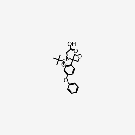 CC(C)(C)[S@@+]([O-])N(CC(=O)O)C1(c2ccc(Oc3ccccc3)cc2)COC1